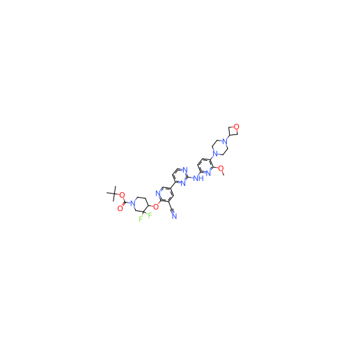 COc1nc(Nc2nccc(-c3cnc(OC4CCN(C(=O)OC(C)(C)C)CC4(F)F)c(C#N)c3)n2)ccc1N1CCN(C2COC2)CC1